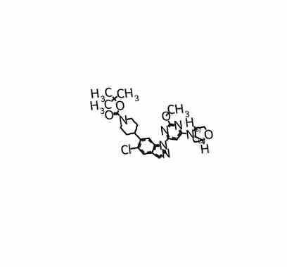 COc1nc(N2C[C@@H]3C[C@H]2CO3)cc(-n2ncc3cc(Cl)c(C4CCN(C(=O)OC(C)(C)C)CC4)cc32)n1